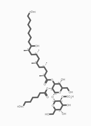 CCCCCCCCCCCCCCCCCC(O)[C@H](C)C[C@H](C)C[C@H](C)C[C@H](C)C[C@H](C)C(=O)OC1[C@H](O)C(CO)O[C@H](O[C@H]2OC(CO)[C@@H](O)C(O)[C@@H]2OS(=O)(=O)O)[C@@H]1OC(=O)CCCCCCCCCCCCCCC